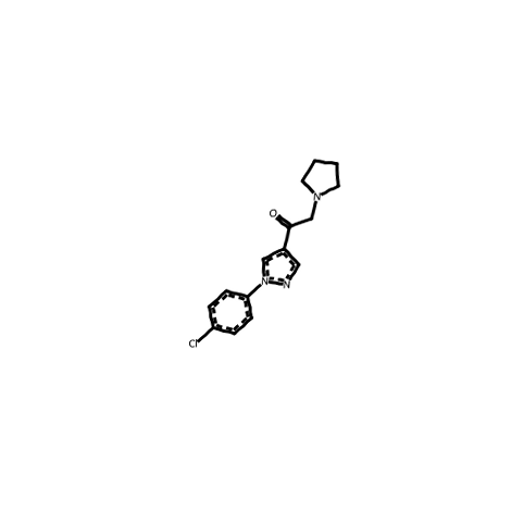 O=C(CN1CCCC1)c1cnn(-c2ccc(Cl)cc2)c1